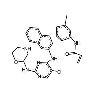 C=CC(=O)Nc1cccc(C)c1.Clc1cnc(NC2CNCCO2)nc1Nc1ccc2ccccc2c1